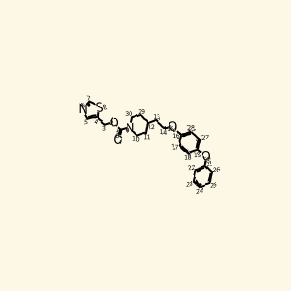 O=C(OCc1cncs1)N1CCC(CCOc2ccc(Oc3ccccc3)cc2)CC1